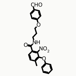 Cc1ccc(C(=O)NCCCOc2ccc(C=O)cc2)c([N+](=O)[O-])c1Oc1ccccc1